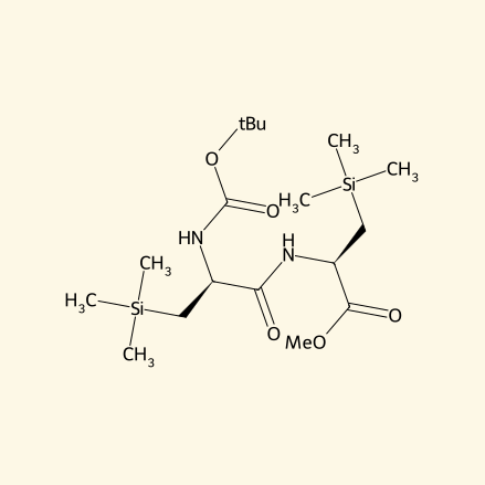 COC(=O)[C@H](C[Si](C)(C)C)NC(=O)[C@@H](C[Si](C)(C)C)NC(=O)OC(C)(C)C